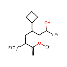 C=C(OCC)C(CC(CC(O)CCC)C1CCC1)C(=O)OCC